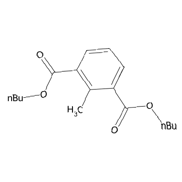 CCCCOC(=O)c1cccc(C(=O)OCCCC)c1C